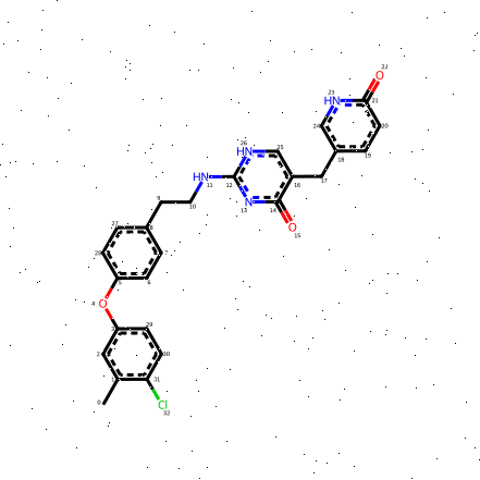 Cc1cc(Oc2ccc(CCNc3nc(=O)c(Cc4ccc(=O)[nH]c4)c[nH]3)cc2)ccc1Cl